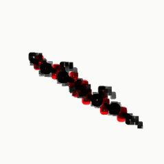 C=CC(=O)Oc1ccc(C(=O)Oc2ccc(C(=O)O[C@H]3CO[C@@H]4[C@H]3OC[C@H]4OC(=O)c3ccc(OC(=O)c4ccc(OC(=O)C=C)cc4)c(OC)c3)cc2OC)cc1